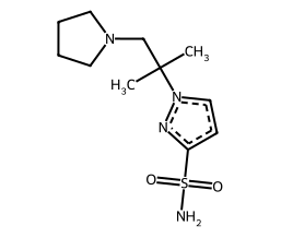 CC(C)(CN1CCCC1)n1ccc(S(N)(=O)=O)n1